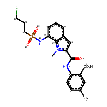 Cn1c(C(=O)Nc2ccc(C#N)cc2C(=O)O)cc2cccc(NS(=O)(=O)CCCCl)c21